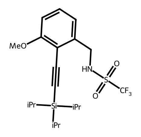 COc1cccc(CNS(=O)(=O)C(F)(F)F)c1C#C[Si](C(C)C)(C(C)C)C(C)C